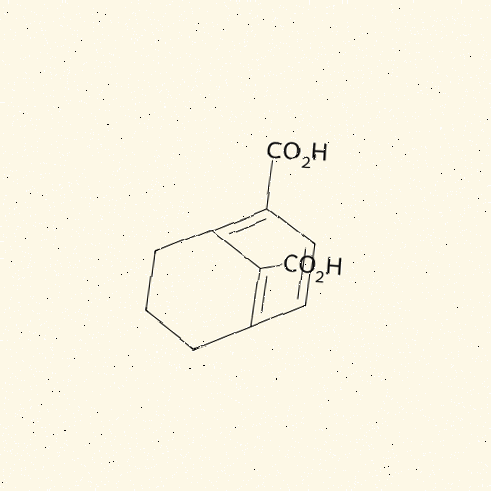 O=C(O)c1ccc2c(C(=O)O)c1CCC2